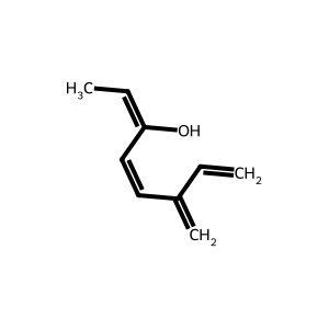 C=CC(=C)/C=C\C(O)=C/C